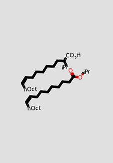 CCCCCCCC/C=C\CCCCCCC(C(=O)O)C(C)C.CCCCCCCC/C=C\CCCCCCCC(=O)OC(C)C